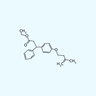 C=C(C)CCOc1ccc(C(CC(=O)OCC)c2ccccc2)cc1